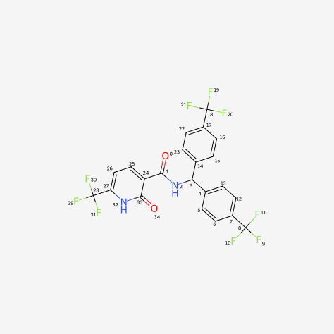 O=C(NC(c1ccc(C(F)(F)F)cc1)c1ccc(C(F)(F)F)cc1)c1ccc(C(F)(F)F)[nH]c1=O